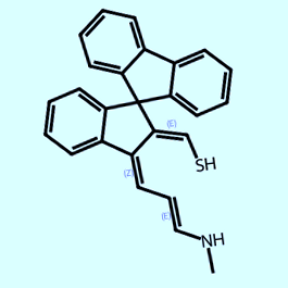 CN/C=C/C=C1\C(=C/S)C2(c3ccccc31)c1ccccc1-c1ccccc12